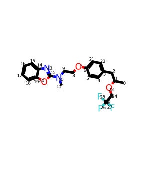 CC(Cc1ccc(OCCN(C)c2nc3ccccc3o2)cc1)OCC(F)(F)F